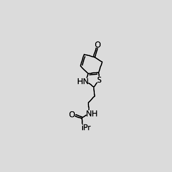 CC(C)C(=O)NCCC1NC2=C(CC(=O)C=C2)S1